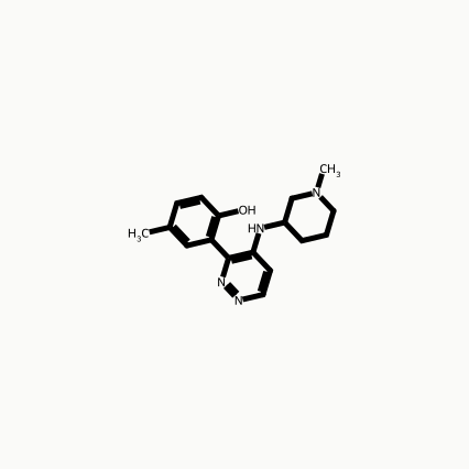 Cc1ccc(O)c(-c2nnccc2NC2CCCN(C)C2)c1